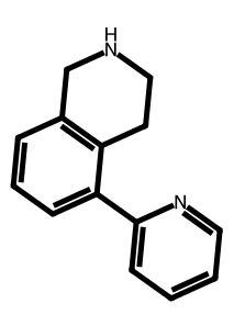 c1ccc(-c2cccc3c2CCNC3)nc1